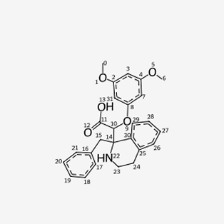 COc1cc(OC)cc(OC(C(=O)O)C2(Cc3ccccc3)NCCc3ccccc32)c1